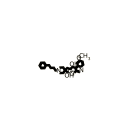 COc1ccc2ncc(Cl)c([C@@H](O)CCC3(C(=O)O)CCN(CCCCc4ccccc4)CC3)c2c1